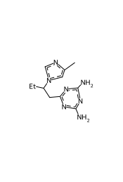 CCC(Cc1nc(N)nc(N)n1)n1cnc(C)c1